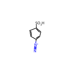 N#[N+]c1ccc(S(=O)(=O)O)cc1